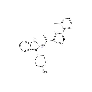 Cc1ccccc1-c1cc(C(=O)/N=c2\[nH]c3ccccc3n2[C@H]2CC[C@@H](O)CC2)ccn1